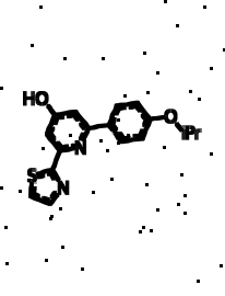 CC(C)Oc1ccc(-c2cc(O)cc(-c3nccs3)n2)cc1